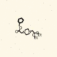 CCOC(CN1CCN(CC(=O)OCc2ccccc2)CC1)OCC